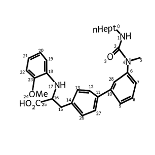 CCCCCCCNC(=O)N(C)c1cccc(-c2ccc(CC(Nc3ccccc3OC)C(=O)O)cc2)c1